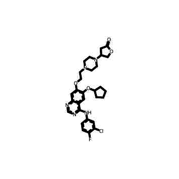 O=C1CC(N2CCN(CCOc3cc4ncnc(Nc5ccc(F)c(Cl)c5)c4cc3OC3CCCC3)CC2)CO1